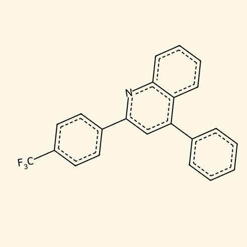 FC(F)(F)c1ccc(-c2cc(-c3ccccc3)c3ccccc3n2)cc1